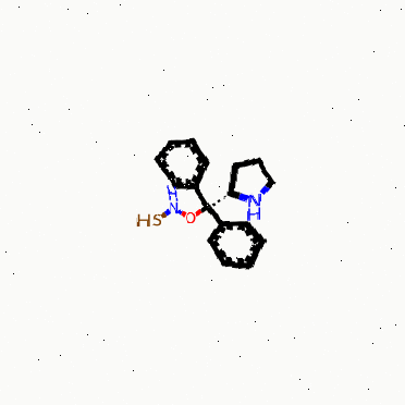 SNOC(c1ccccc1)(c1ccccc1)[C@@H]1CCCN1